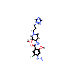 COc1cc(N)c(Cl)cc1C(=O)NC1CCN(CCCn2cncn2)CC1OC